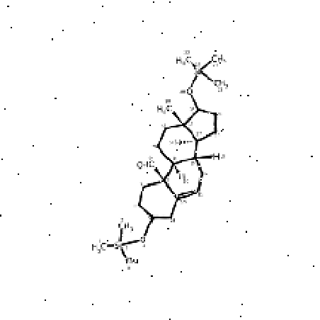 CC(C)(C)[Si](C)(C)OC1CC[C@@]2(C=O)C(=CC[C@@H]3[C@H]2CC[C@]2(C)C(O[Si](C)(C)C)CC[C@@H]32)C1